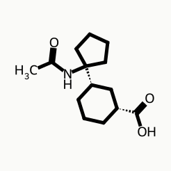 CC(=O)NC1([C@H]2CCC[C@@H](C(=O)O)C2)CCCC1